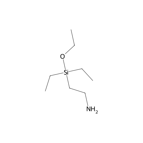 CCO[Si](CC)(CC)CCN